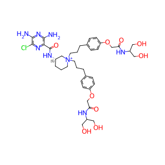 Nc1nc(N)c(C(=O)N[C@H]2CCC[N+](CCCc3ccc(OCC(=O)NC(CO)CO)cc3)(CCCc3ccc(OCC(=O)NC(CO)CO)cc3)C2)nc1Cl